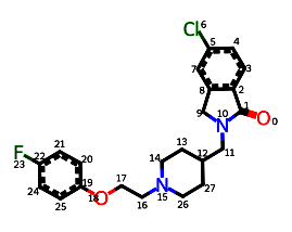 O=C1c2ccc(Cl)cc2CN1CC1CCN(CCOc2ccc(F)cc2)CC1